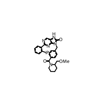 COCC1CCCCN1C(=O)c1ccc(Cn2c(=O)[nH]c3cnc(-c4ccccc4C(C)C)nc32)cc1